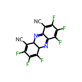 N#CC1=C(F)C(F)=C(F)C2N=c3c(F)c(F)c(F)c(C#N)c3=NC12